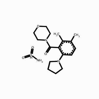 Cc1ccc(N2CCCC2)c(C(=O)N2CCOCC2)c1C.N[SH](=O)=O